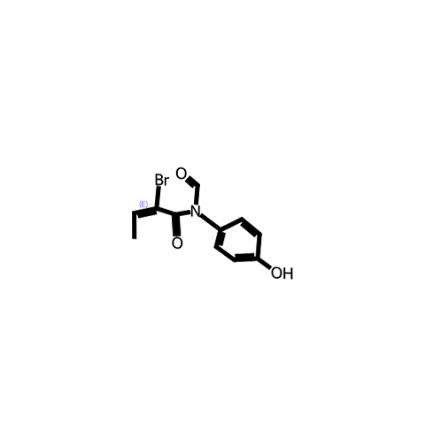 C/C=C(/Br)C(=O)N(C=O)c1ccc(O)cc1